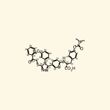 CN(C)C(=O)Oc1ccc(C[C@H](Nc2ccc(-c3nnc(SCC(=O)c4ccccc4)n3-c3cccc(C(F)(F)F)c3)cn2)C(=O)O)cc1